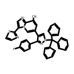 N#Cc1cc(-c2cn(C(c3ccccc3)(c3ccccc3)c3ccccc3)nc2-c2ccc(F)cc2)cn2c(-c3nccs3)cnc12